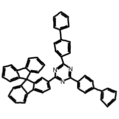 c1ccc(-c2ccc(-c3nc(-c4ccc(-c5ccccc5)cc4)nc(-c4ccc5c(c4)C4(c6ccccc6-c6ccccc64)c4ccccc4-5)n3)cc2)cc1